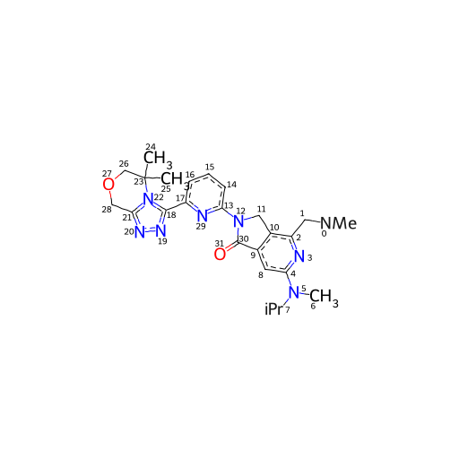 CNCc1nc(N(C)C(C)C)cc2c1CN(c1cccc(-c3nnc4n3C(C)(C)COC4)n1)C2=O